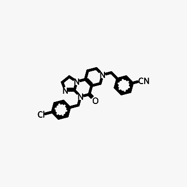 N#Cc1cccc(CN2CCC3=C(C2)C(=O)N(Cc2ccc(Cl)cc2)C2=NCCN23)c1